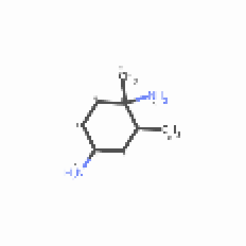 CC1CC(N)CCC1(C)N